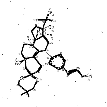 CC1(C)COC2(CCC3=C4[C@@H](CC[C@@]3(O)C2)[C@@H]2CC[C@@](O)(C(F)(F)C(F)(F)F)[C@@]2(C)C[C@@H]4c2ccc(/C=C/CO)cc2)OC1